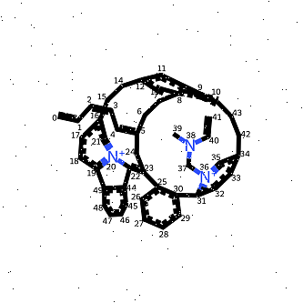 C=C/C=C\C=C1/CCc2cc3cc(c2)CCc2ccc4[n+](c2)/C(=C(/C1)c1ccccc1-c1ccc(c[n+]1CN(C)C=C)CC3)c1ccccc1-4